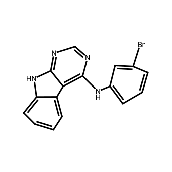 Brc1cccc(Nc2ncnc3[nH]c4ccccc4c23)c1